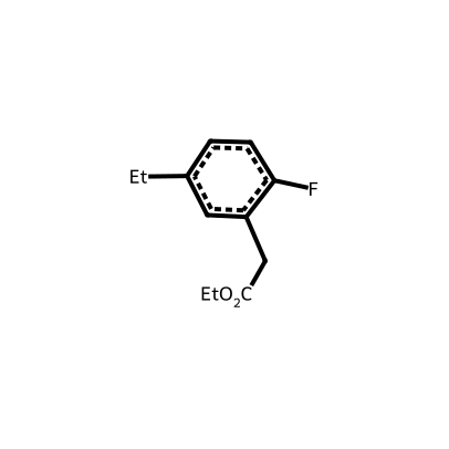 CCOC(=O)Cc1cc(CC)ccc1F